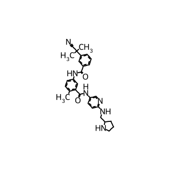 Cc1ccc(NC(=O)c2cccc(C(C)(C)C#N)c2)cc1C(=O)Nc1ccc(NCC2CCCN2)nc1